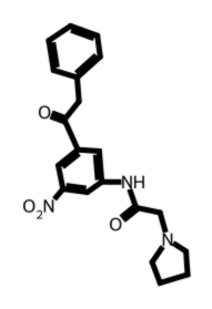 O=C(CN1CCCC1)Nc1cc(C(=O)Cc2ccccc2)cc([N+](=O)[O-])c1